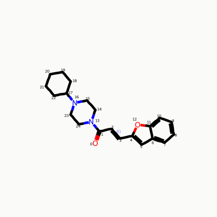 O=C(/C=C/c1cc2ccccc2o1)N1CCN(C2CCCCC2)CC1